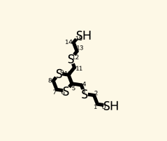 SCCSCC1SCCSC1CSCCS